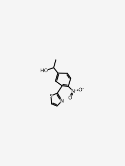 CC(O)c1ccc([N+](=O)[O-])c(-c2nccs2)c1